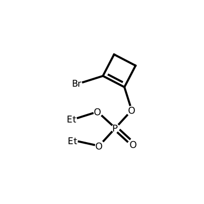 CCOP(=O)(OCC)OC1=C(Br)CC1